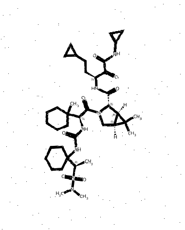 C[C@H](C1(NC(=O)N[C@H](C(=O)N2C[C@H]3[C@@H]([C@H]2C(=O)N[C@@H](CCC2CC2)C(=O)C(=O)NC2CC2)C3(C)C)C2(C)CCCCC2)CCCCC1)S(=O)(=O)N(C)C